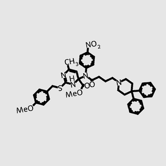 COC(=O)C1(N(C(=O)CCCN2CCC(c3ccccc3)(c3ccccc3)CC2)c2ccc([N+](=O)[O-])cc2)C=C(C)N=C(SCc2ccc(OC)cc2)N1